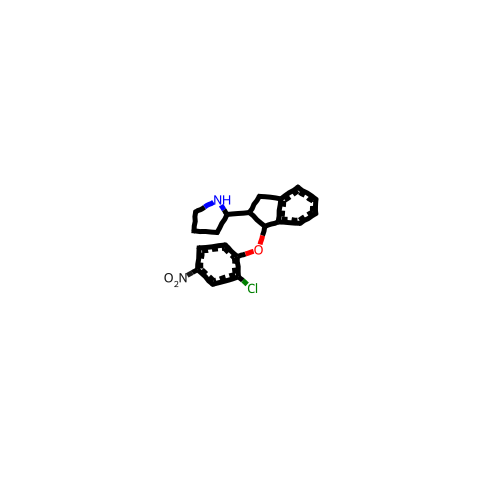 O=[N+]([O-])c1ccc(OC2c3ccccc3CC2C2CCCN2)c(Cl)c1